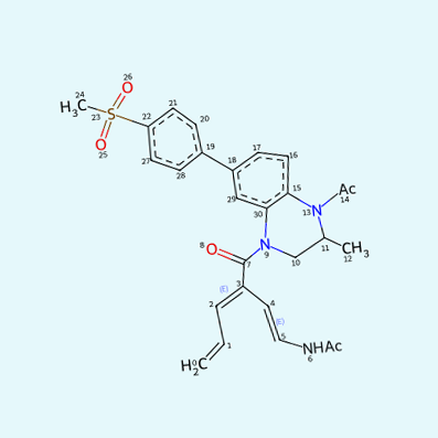 C=C/C=C(\C=C\NC(C)=O)C(=O)N1CC(C)N(C(C)=O)c2ccc(-c3ccc(S(C)(=O)=O)cc3)cc21